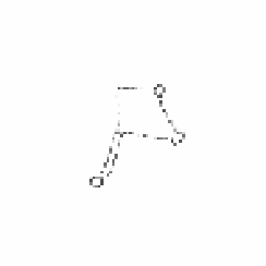 O=C1COO1